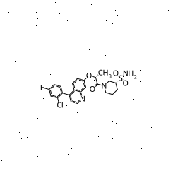 C[C@@H](Oc1ccc2c(-c3ccc(F)cc3Cl)ccnc2c1)C(=O)N1CCC[C@@H](S(N)(=O)=O)C1